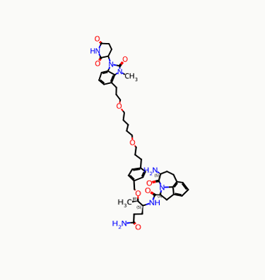 C[C@@H](OCc1ccc(CCCOCCCCCOCCCc2cccc3c2n(C)c(=O)n3C2CCC(=O)NC2=O)cc1)[C@H](CCC(N)=O)NC(=O)[C@@H]1Cc2cccc3c2N1C(=O)[C@@H](N)CC3